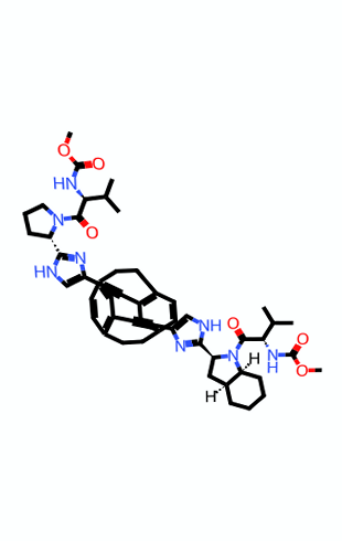 COC(=O)N[C@H](C(=O)N1CCC[C@H]1c1nc(C#Cc2cc3ccc2CCc2ccc(c(C#Cc4c[nH]c([C@@H]5C[C@@H]6CCCC[C@@H]6N5C(=O)[C@@H](NC(=O)OC)C(C)C)n4)c2)CC3)c[nH]1)C(C)C